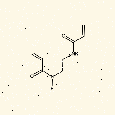 C=CC(=O)NCCN(CC)C(=O)C=C